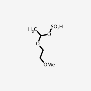 COCCOC(C)OS(=O)(=O)O